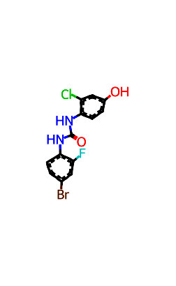 O=C(Nc1ccc(Br)cc1F)Nc1ccc(O)cc1Cl